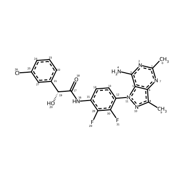 Cc1nc(N)c2c(n1)c(C)nn2-c1ccc(NC(=O)[C@H](O)c2cccc(Cl)c2)c(F)c1F